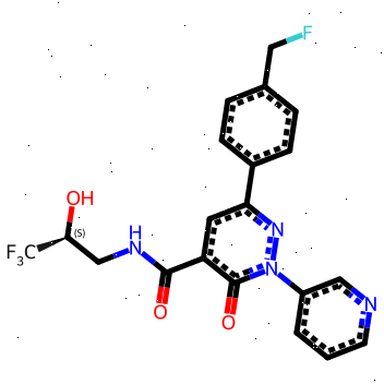 O=C(NC[C@H](O)C(F)(F)F)c1cc(-c2ccc(CF)cc2)nn(-c2cccnc2)c1=O